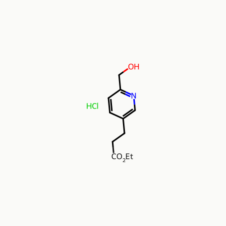 CCOC(=O)CCc1ccc(CO)nc1.Cl